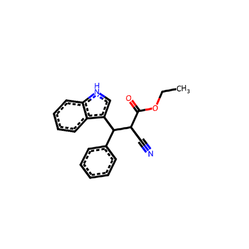 CCOC(=O)C(C#N)C(c1ccccc1)c1c[nH]c2ccccc12